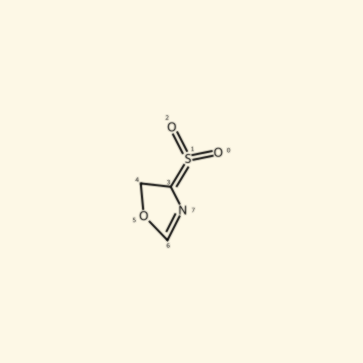 O=S(=O)=C1COC=N1